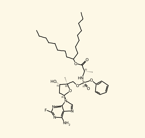 CCCCCCCCC(CCCCCCCC)OC(=O)[C@H](C)N[P@](=O)(OC[C@@]1(C)O[C@@H](n2cnc3c(N)nc(F)nc32)C[C@@H]1O)Oc1ccccc1